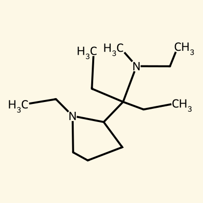 CCN1CCCC1C(CC)(CC)N(C)CC